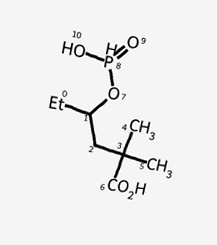 CCC(CC(C)(C)C(=O)O)O[PH](=O)O